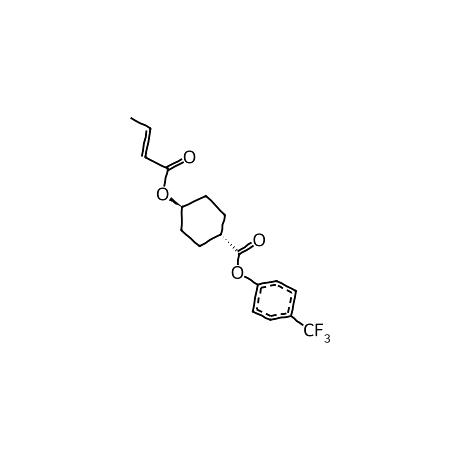 CC=CC(=O)O[C@H]1CC[C@H](C(=O)Oc2ccc(C(F)(F)F)cc2)CC1